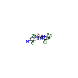 N#Cc1cc(Cl)c(-c2noc(-c3cn4cc(C(F)(F)F)cc(Cl)c4n3)n2)cc1Cl